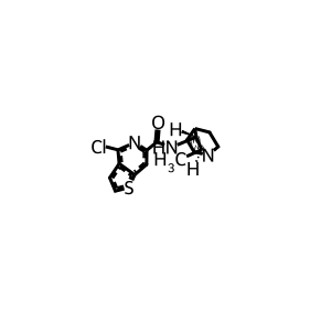 C[C@H]1[C@H](NC(=O)c2cc3sccc3c(Cl)n2)C2CCN1CC2